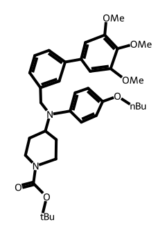 CCCCOc1ccc(N(Cc2cccc(-c3cc(OC)c(OC)c(OC)c3)c2)C2CCN(C(=O)OC(C)(C)C)CC2)cc1